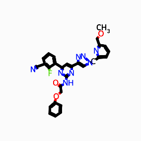 COCc1cccc(Cn2cc(-c3cc(-c4cccc(C#N)c4F)nc(NC(=O)COc4ccccc4)n3)nn2)n1